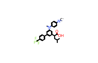 [C-]#[N+]c1ccc(N(C)c2cc(-c3ccc(C(F)(F)F)cc3)cc(C(CC(C)C)C(=O)O)c2)cc1